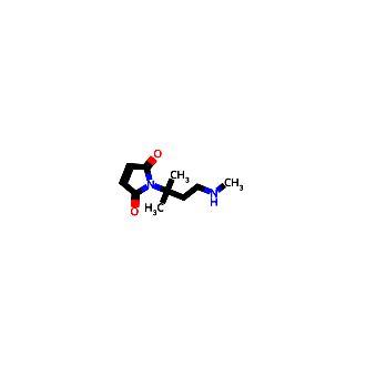 CNCCC(C)(C)N1C(=O)C=CC1=O